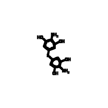 Nc1c(O)cc(Sc2cc(O)c(N)c(O)c2)cc1O